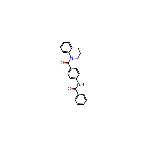 O=C(Nc1ccc(C(=O)N2CCCc3ccccc32)cc1)c1ccccc1